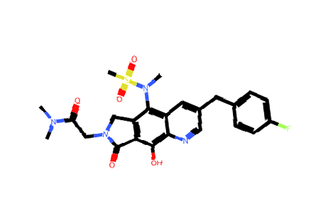 CN(C)C(=O)CN1Cc2c(c(O)c3ncc(Cc4ccc(F)cc4)cc3c2N(C)S(C)(=O)=O)C1=O